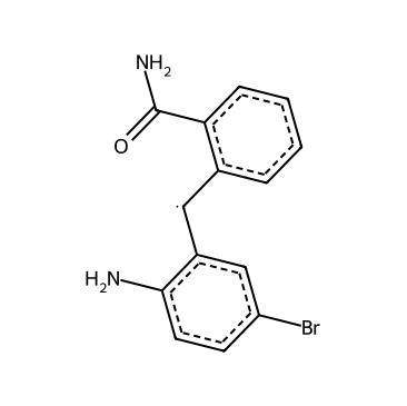 NC(=O)c1ccccc1[CH]c1cc(Br)ccc1N